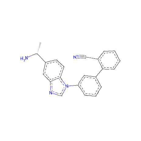 C[C@@H](N)c1ccc2c(c1)ncn2-c1cccc(-c2ccccc2C#N)c1